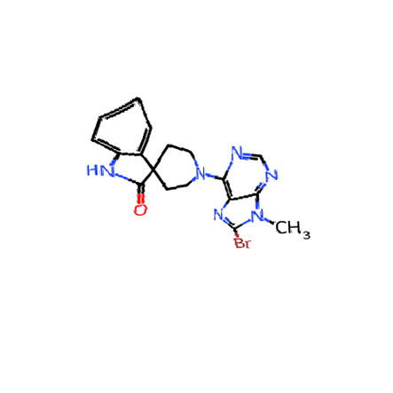 Cn1c(Br)nc2c(N3CCC4(CC3)C(=O)Nc3ccccc34)ncnc21